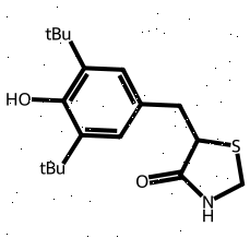 CC(C)(C)c1cc(CC2SCNC2=O)cc(C(C)(C)C)c1O